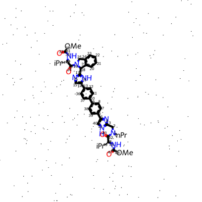 CCCN(Cc1nc(-c2ccc(-c3ccc(-c4cnc(C5c6ccccc6CN5C(=O)[C@@H](NC(=O)OC)C(C)C)[nH]4)cc3)cc2)c[nH]1)C(=O)[C@@H](NC(=O)OC)C(C)C